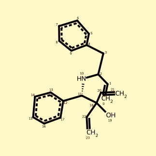 C=CC(Cc1ccccc1)N[C@@H](c1ccccc1)C(O)(C=C)C=C